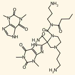 CCCC(=O)N(CCCN)C(=O)N1CCN(CCCN)CC1(C(N)=O)c1nc2c([nH]1)c(=O)n(C)c(=O)n2C.Cn1c(=O)c2[nH]cnc2n(C)c1=O